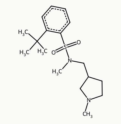 CN1CCC(CN(C)S(=O)(=O)c2ccccc2C(C)(C)C)C1